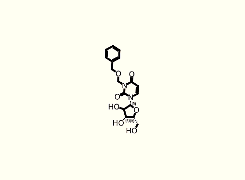 O=c1ccn([C@@H]2O[C@H](CO)[C@H](O)C2O)c(=O)n1COCc1ccccc1